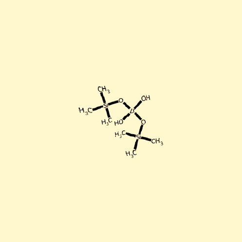 C[Si](C)(C)[O][Zr]([OH])([OH])[O][Si](C)(C)C